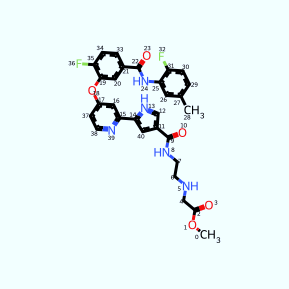 COC(=O)CNCCNC(=O)c1c[nH]c(-c2cc(Oc3cc(C(=O)Nc4cc(C)ccc4F)ccc3F)ccn2)c1